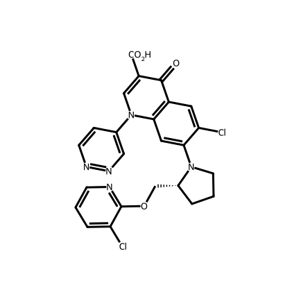 O=C(O)c1cn(-c2ccnnc2)c2cc(N3CCC[C@@H]3COc3ncccc3Cl)c(Cl)cc2c1=O